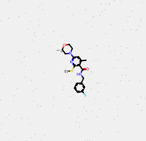 CCSc1nc(N2CCO[C@@H](C)C2)cc(C)c1C(=O)NCc1cccc(F)c1